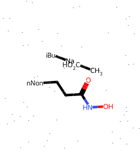 CC(=O)O.CCCCCCCCCCCC(=O)NO.CC[CH](C)[Na]